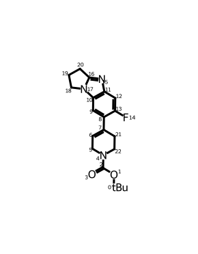 CC(C)(C)OC(=O)N1CC=C(c2cc3c(cc2F)nc2n3CCC2)CC1